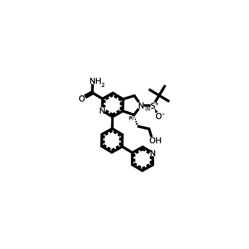 CC(C)(C)[S@@+]([O-])N1Cc2cc(C(N)=O)nc(-c3cccc(-c4cccnc4)c3)c2[C@H]1CCO